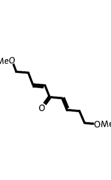 COCCC=CC(=O)C=CCCOC